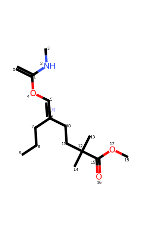 C=C(NC)O/C=C(\CCC)CCC(C)(C)C(=O)OC